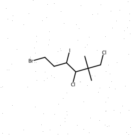 CC(C)(CCl)C(Cl)C(I)CCBr